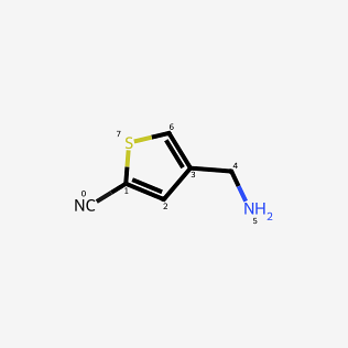 N#Cc1cc(CN)cs1